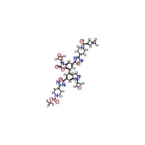 CC(C)(C)OC(=O)N1CCC(c2noc(-c3cc(-c4cc(-c5nc(C6CCN(C(=O)C7CC8(CC8)C7)CC6)no5)cc5c4oc(=O)n5C4COC4)c4cnn(C5COC5)c4c3)n2)CC1